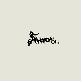 CC[C@@H]1CCCN1Cc1sc(NC(=O)c2cnc(N3CCC(C(=O)O)CC3)cn2)nc1-c1cc(C)cs1